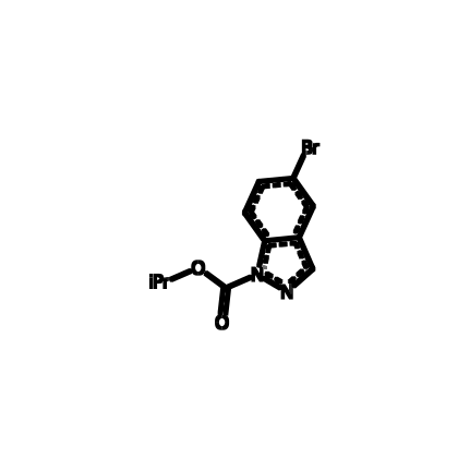 CC(C)OC(=O)n1ncc2cc(Br)ccc21